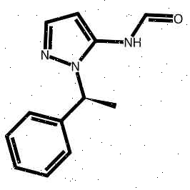 C[C@@H](c1ccccc1)n1nccc1NC=O